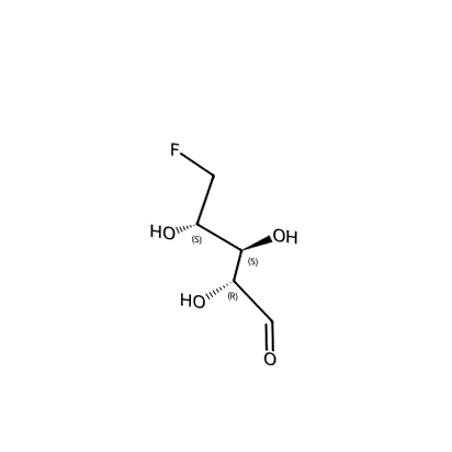 O=C[C@H](O)[C@H](O)[C@H](O)CF